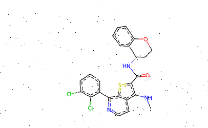 CNc1c(C(=O)N[C@H]2CCOc3ccccc32)sc2c(-c3cccc(Cl)c3Cl)nccc12